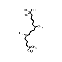 CN(CCCC[Si](O)(O)O)CCCN(C)CCCN(C)S(=O)(=O)O